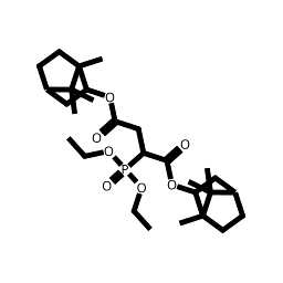 CCOP(=O)(OCC)C(CC(=O)OC1CC2CCC1(C)C2(C)C)C(=O)OC1CC2CCC1(C)C2(C)C